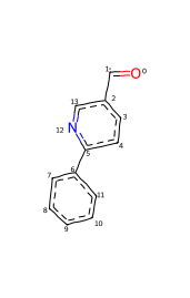 O=[C]c1ccc(-c2ccccc2)nc1